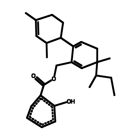 CCC(C)C1(C)C=C(COC(=O)c2ccccc2O)C(C2CCC(C)=CC2C)=CC1